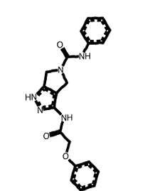 O=C(COc1ccccc1)Nc1n[nH]c2c1CN(C(=O)Nc1ccccc1)C2